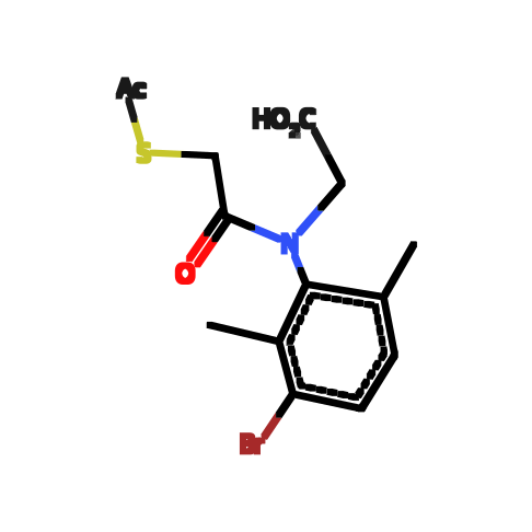 CC(=O)SCC(=O)N(CC(=O)O)c1c(C)ccc(Br)c1C